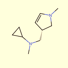 CN1C=C[C@@H](CN(C)C2CC2)C1